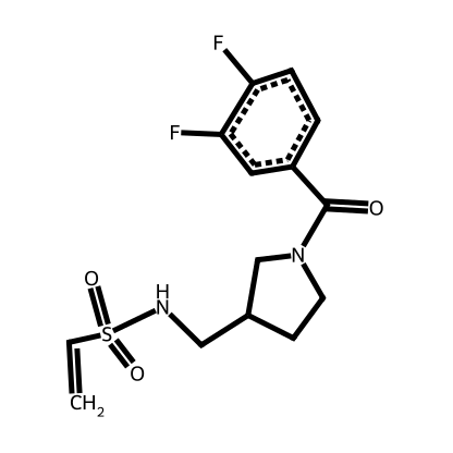 C=CS(=O)(=O)NCC1CCN(C(=O)c2ccc(F)c(F)c2)C1